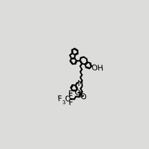 O=S(=O)(CCCN(CCCCCCC1=C(c2cccc3c2-c2ccccc2C3)CCCc2cc(O)ccc21)Cc1ccc(F)cc1)CCCC(F)(F)C(F)(F)F